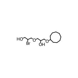 OCC(Br)COCC(O)COC1CCCCCCCC1